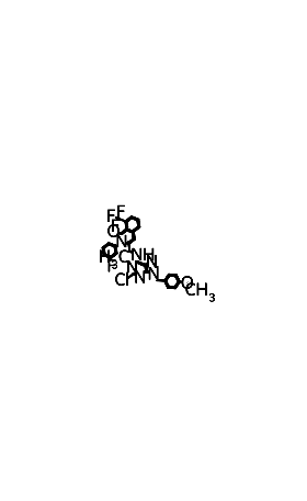 COc1ccc(Cn2cnc3c(N[C@@H](C)c4cc5cccc(C(F)(F)F)c5c(=O)n4-c4cccc(F)c4)nc(Cl)nc32)cc1